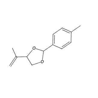 C=C(C)C1COC(c2ccc(C)cc2)O1